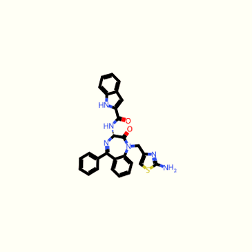 Nc1nc(CN2C(=O)[C@@H](NC(=O)c3cc4ccccc4[nH]3)N=C(c3ccccc3)c3ccccc32)cs1